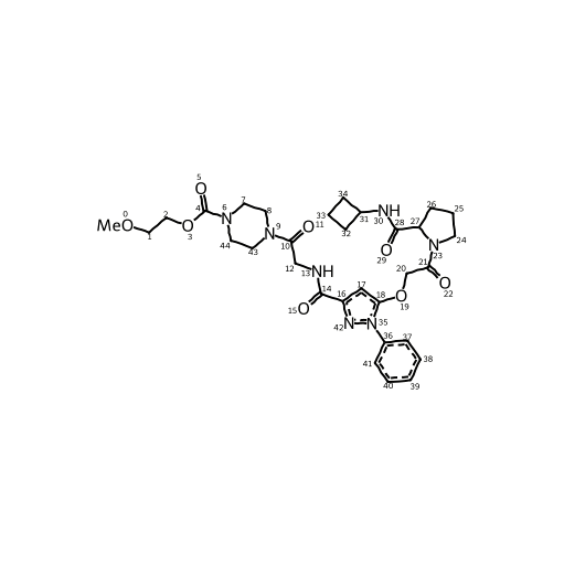 COCCOC(=O)N1CCN(C(=O)CNC(=O)c2cc(OCC(=O)N3CCCC3C(=O)NC3CCC3)n(-c3ccccc3)n2)CC1